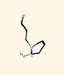 C[C@H]1CCCN1CCCBr